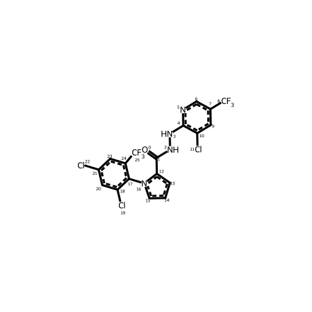 O=C(NNc1ncc(C(F)(F)F)cc1Cl)c1cccn1-c1c(Cl)cc(Cl)cc1C(F)(F)F